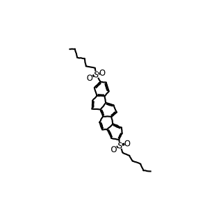 CCCCCCS(=O)(=O)c1ccc2c(ccc3c2ccc2c4ccc(S(=O)(=O)CCCCCC)cc4ccc23)c1